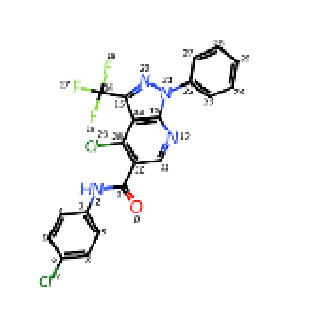 O=C(Nc1ccc(Cl)cc1)c1cnc2c(c(C(F)(F)F)nn2-c2ccccc2)c1Cl